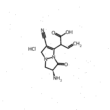 C=CC(C(=O)O)C1=C(C#N)CN2C[C@H](N)C(=O)N12.Cl